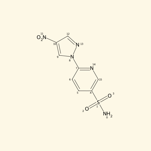 NS(=O)(=O)c1ccc(-n2cc([N+](=O)[O-])cn2)nc1